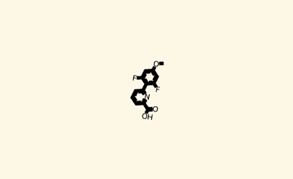 COc1cc(F)c(-c2cccc(C(=O)O)n2)c(F)c1